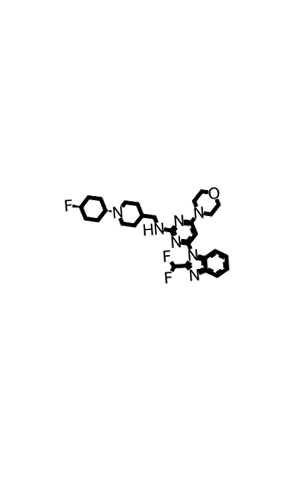 FC(F)c1nc2ccccc2n1-c1cc(N2CCOCC2)nc(NCC2CCN([C@H]3CC[C@H](F)CC3)CC2)n1